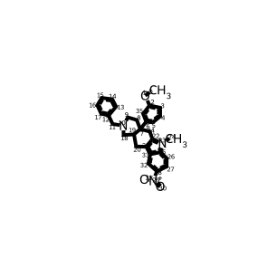 COc1cccc(C23CCN(Cc4ccccc4)CC2Cc2c(n(C)c4ccc([N+](=O)[O-])cc24)C3)c1